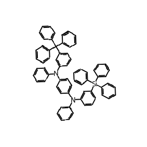 c1ccc(N(c2ccc(N(c3ccccc3)c3cccc([Si](c4ccccc4)(c4ccccc4)c4ccccc4)c3)cc2)c2cccc(C(c3ccccc3)(c3ccccc3)c3ccccc3)c2)cc1